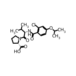 CC(C)Oc1ccc(C(=O)N[C@H](C(=O)N2CCC[C@H]2C(=O)O)C(C)C)c(Cl)c1